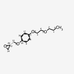 CCCOCCOc1ccc(OC[C@@H]2CO2)cc1